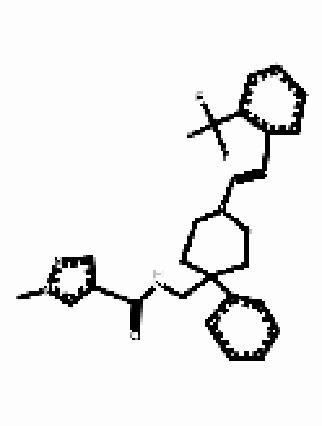 Cn1cc(C(=O)NCC2(c3ccccc3)CCN(C=Cc3ccccc3C(F)(F)F)CC2)cn1